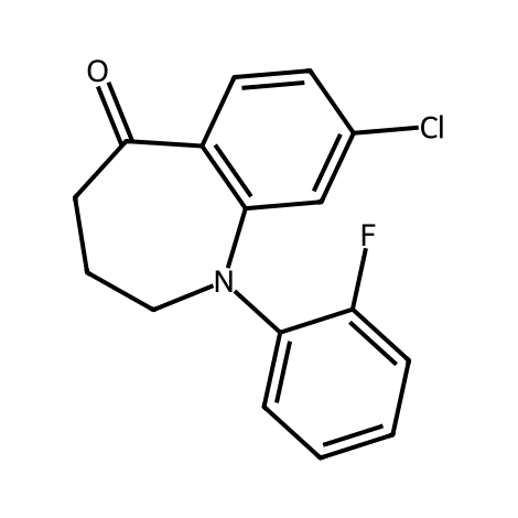 O=C1CCCN(c2ccccc2F)c2cc(Cl)ccc21